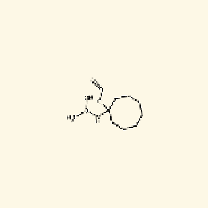 CB(O)NC1(OC=O)CCCCCCC1